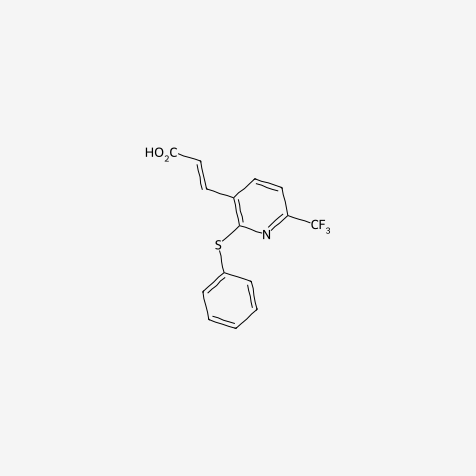 O=C(O)/C=C/c1ccc(C(F)(F)F)nc1Sc1ccccc1